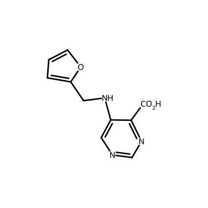 O=C(O)c1ncncc1NCc1ccco1